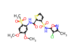 COc1cc(NC(=O)c2sccc2S(=O)(=O)Nc2onc(C)c2Cl)c(S(C)(=O)=O)cc1OC